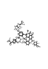 COc1ccc(CN(Cc2ccc(OC)cc2)c2cc(Cl)c(C(F)(F)F)c(C3Cc4nc(OC[C@@]56CCCN5C/C(=C\F)C6)nc(N5CCCn6nc(C(=O)N(C)C)cc6C5)c4CO3)c2)cc1